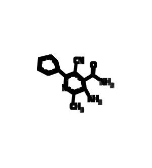 Cc1nc(-c2ccccc2)c(C#N)c(C(N)=O)c1N